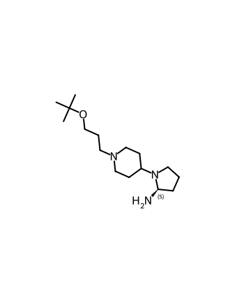 CC(C)(C)OCCCN1CCC(N2CCC[C@H]2N)CC1